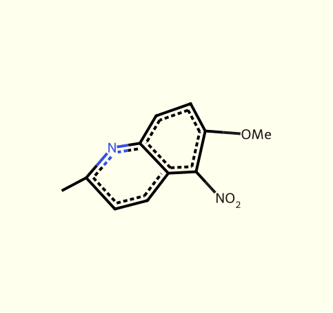 COc1ccc2nc(C)ccc2c1[N+](=O)[O-]